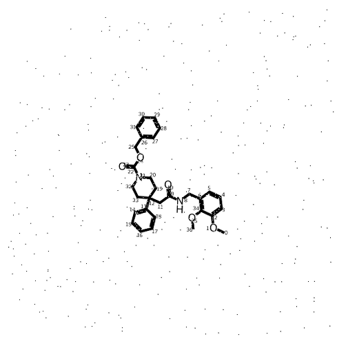 COc1cccc(CNC(=O)CC2(c3ccccc3)CCN(C(=O)OCc3ccccc3)CC2)c1OC